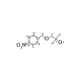 CC(C)([O])COCc1ccc([N+](=O)[O-])cc1